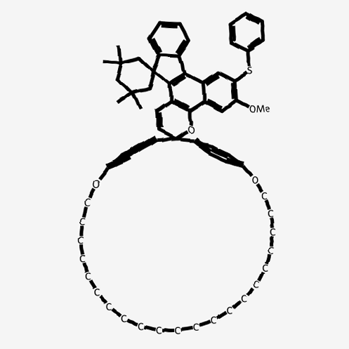 COc1cc2c3c(c4c(c2cc1Sc1ccccc1)-c1ccccc1C41CC(C)(C)CC(C)(C)C1)C=CC1(O3)c2ccc(cc2)OCCCCCCCCCCCCCCCCCCCCCOc2ccc1cc2